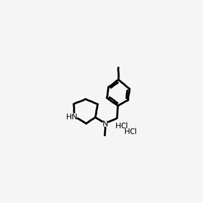 Cc1ccc(CN(C)C2CCCNC2)cc1.Cl.Cl